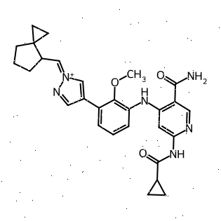 COc1c(Nc2cc(NC(=O)C3CC3)ncc2C(N)=O)cccc1C1=C/[N+](=C/C2CCCC23CC3)N=C1